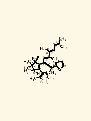 C=CC(=C(C)C)C1=C(C(=C=C(C)c2cccs2)/C=C(C)/C(C)=C/C=C(C)C)C(F)(F)C(C)(C)C1(C)C